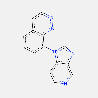 c1cc(-n2cnc3cnccc32)c2nnccc2c1